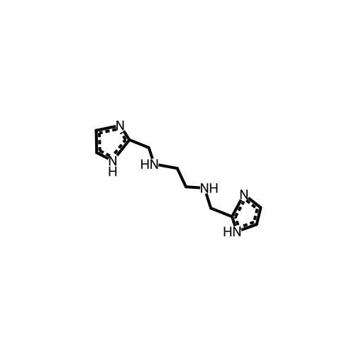 c1c[nH]c(CNCCNCc2ncc[nH]2)n1